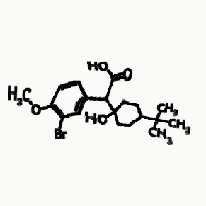 COc1ccc(C(C(=O)O)C2(O)CCC(C(C)(C)C)CC2)cc1Br